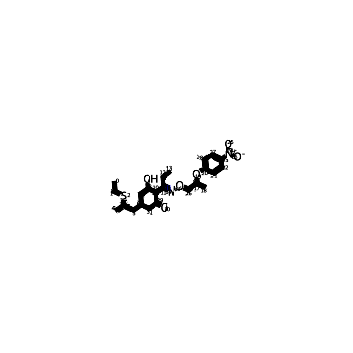 CCSC(C)CC1C=C(O)C(/C(CC)=N/OCC(C)Oc2ccc([N+](=O)[O-])cc2)C(=O)C1